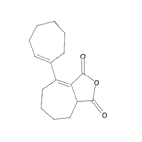 O=C1OC(=O)C2CCCCC(C3=CCCCCC3)=C12